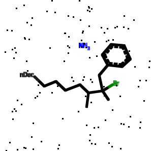 CCCCCCCCCCCCCCC(C)C(C)(Br)Cc1ccccc1.N